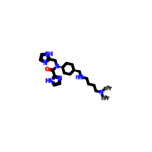 CCCN(CCC)CCCCNC[C@H]1CC[C@H](N(Cc2ncc[nH]2)C(=O)c2ncc[nH]2)CC1